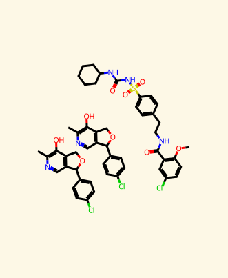 COc1ccc(Cl)cc1C(=O)NCCc1ccc(S(=O)(=O)NC(=O)NC2CCCCC2)cc1.Cc1ncc2c(c1O)COC2c1ccc(Cl)cc1.Cc1ncc2c(c1O)COC2c1ccc(Cl)cc1